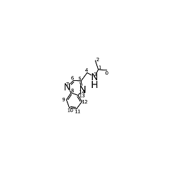 CC(C)NCc1cnc2ccccc2n1